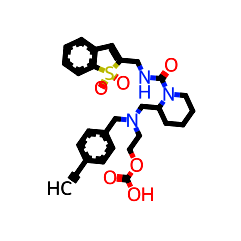 C#Cc1ccc(CN(CCOC(=O)O)CC2CCCCN2C(=O)NCC2=Cc3ccccc3S2(=O)=O)cc1